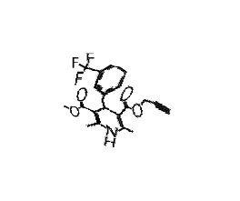 C#CCOC(=O)C1=C(C)NC(C)=C(C(=O)OC)C1c1cccc(C(F)(F)F)c1